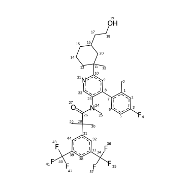 Cc1cc(F)ccc1-c1cc(C2(C)CCCC(CCO)C2)ncc1N(C)C(=O)C(C)(C)c1cc(C(F)(F)F)cc(C(F)(F)F)c1